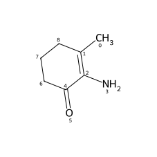 CC1=C(N)C(=O)CCC1